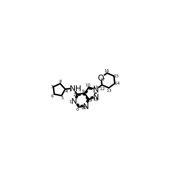 c1nc(NC2CCCC2)c2cn(C3CCCCO3)nc2n1